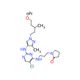 CCCOCCC(C)CCn1cc(Nc2ncc(Cl)c(NCCCN3CCCC3=O)n2)c(C)n1